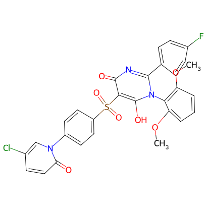 COc1cccc(OC)c1-n1c(-c2ccc(F)cc2)nc(=O)c(S(=O)(=O)c2ccc(-n3cc(Cl)ccc3=O)cc2)c1O